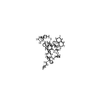 Cc1cccc2cccc(N3Cc4nc(OC[C@@H]5CCCN5C)nc(N5CCN(C(=O)/C=C/CF)[C@@H](CC#N)C5)c4CC34CC4)c12